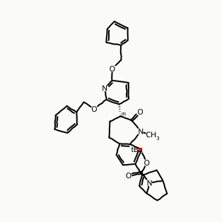 CN1C(=O)[C@@H](c2ccc(OCc3ccccc3)nc2OCc2ccccc2)CCc2ccc(C3=CC4CCC(C3)N4C(=O)OC(C)(C)C)cc21